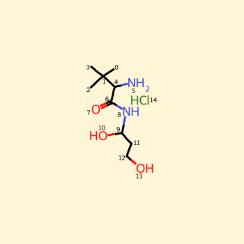 CC(C)(C)C(N)C(=O)NC(O)CCO.Cl